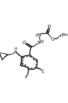 CC(C)(C)OC(=O)NNC(=O)c1cc(Cl)c(F)cc1NC1CC1